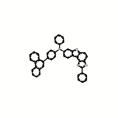 c1ccc(-c2nc3c(ccc4oc5cc(N(c6ccccc6)c6ccc(-c7cc8ccccc8c8ccccc78)cc6)ccc5c43)o2)cc1